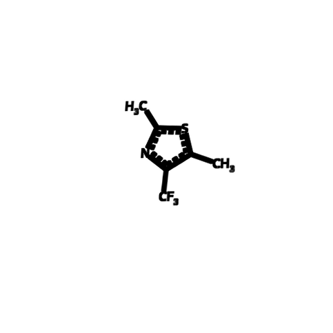 Cc1nc(C(F)(F)F)c(C)s1